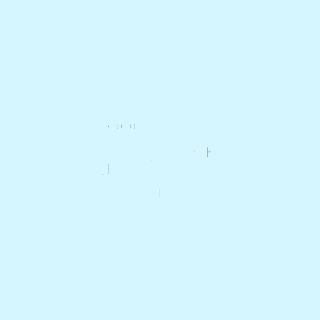 O=C([O-])C(F)(Cl)Cl.[K+]